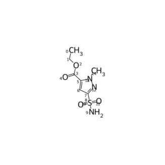 CCOC(=O)c1cc(S(N)(=O)=O)nn1C